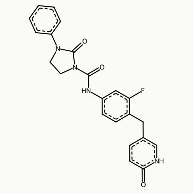 O=C(Nc1ccc(Cc2ccc(=O)[nH]c2)c(F)c1)N1CCN(c2ccccc2)C1=O